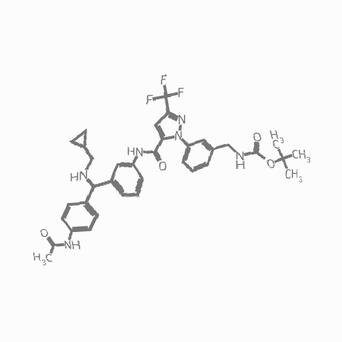 CC(=O)Nc1ccc(C(NCC2CC2)c2cccc(NC(=O)c3cc(C(F)(F)F)nn3-c3cccc(CNC(=O)OC(C)(C)C)c3)c2)cc1